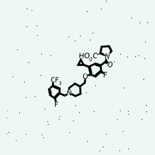 O=C(O)[C@@H]1CCCN1C(=O)c1cc(C2CC2)c(OCC2CCN(Cc3cc(C(F)(F)F)ccc3F)CC2)cc1F